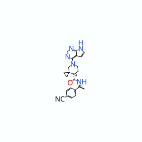 C[C@H](NC(=O)[C@H]1CCN(c2ncnc3[nH]ccc23)CC12CC2)c1ccc(C#N)cc1